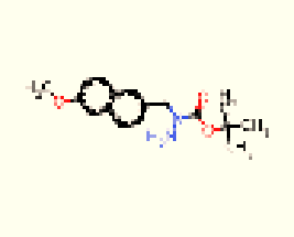 COc1ccc2cc(CN(N)C(=O)OC(C)(C)C)ccc2c1